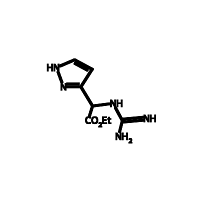 CCOC(=O)C(NC(=N)N)c1cc[nH]n1